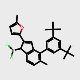 Cc1ccc(C2=Cc3c(ccc(C)c3-c3cc(C(C)(C)C)cc(C(C)(C)C)c3)[CH]2[Zr]([Cl])[Cl])o1